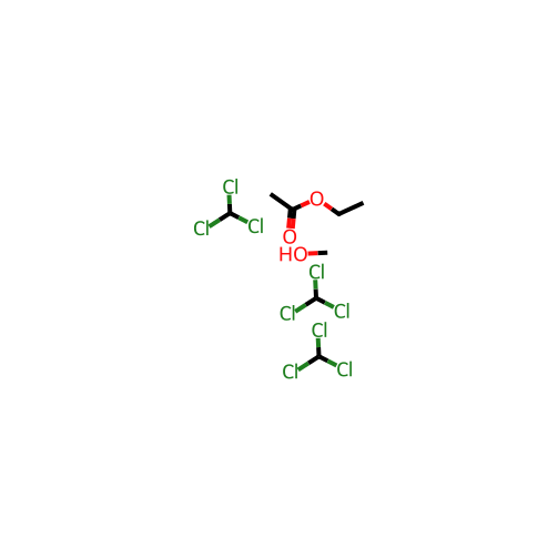 CCOC(C)=O.CO.ClC(Cl)Cl.ClC(Cl)Cl.ClC(Cl)Cl